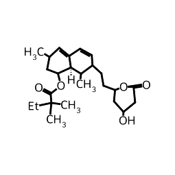 CCC(C)(C)C(=O)OC1CC(C)C=C2C=CC(CCC3CC(O)CC(=O)O3)C(C)[C@H]21